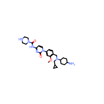 COc1cc(-n2ccc(NC(=O)N3CCNCC3)nc2=O)ccc1CN(CC1CC1)C1CCC(N)CC1